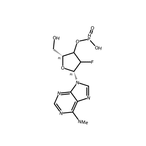 CNc1ncnc2c1ncn2[C@@H]1O[C@H](CO)C(O[PH](=O)O)C1F